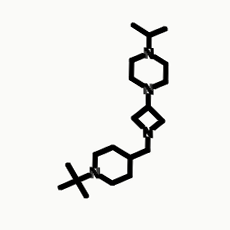 CC(C)N1CCN(C2CN(CC3CCN(C(C)(C)C)CC3)C2)CC1